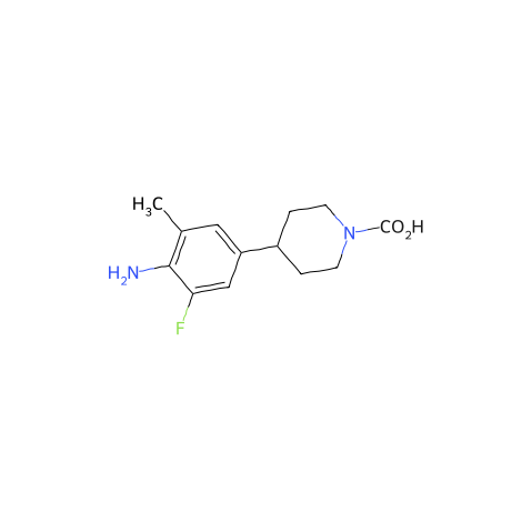 Cc1cc(C2CCN(C(=O)O)CC2)cc(F)c1N